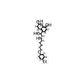 CCc1ccc(OCCCCCNCC(O)c2ccc(O)c3[nH]c(=O)ccc23)cc1